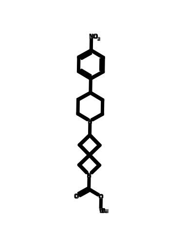 CC(C)(C)OC(=O)N1CC2(CC(N3CCC(c4ccc([N+](=O)[O-])cc4)CC3)C2)C1